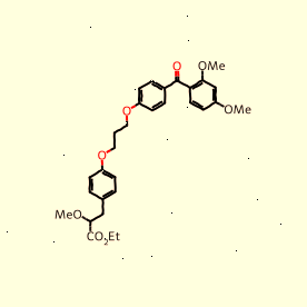 CCOC(=O)C(Cc1ccc(OCCCOc2ccc(C(=O)c3ccc(OC)cc3OC)cc2)cc1)OC